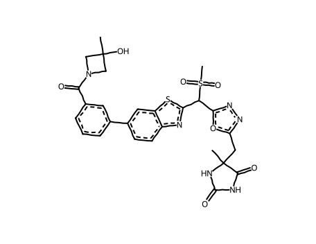 CC1(O)CN(C(=O)c2cccc(-c3ccc4nc(C(c5nnc(CC6(C)NC(=O)NC6=O)o5)S(C)(=O)=O)sc4c3)c2)C1